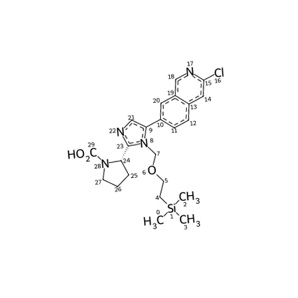 C[Si](C)(C)CCOCn1c(-c2ccc3cc(Cl)ncc3c2)cnc1[C@@H]1CCCN1C(=O)O